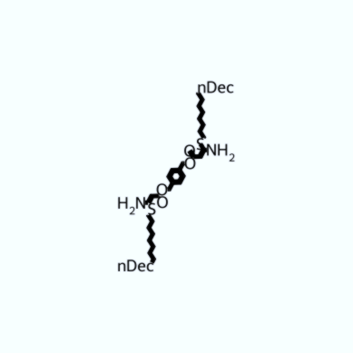 CCCCCCCCCCCCCCCCCCSC(N)=CC(=O)OCc1ccc(COC(=O)C=C(N)SCCCCCCCCCCCCCCCCCC)cc1